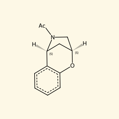 CC(=O)N1C[C@@H]2C[C@H]1c1ccccc1O2